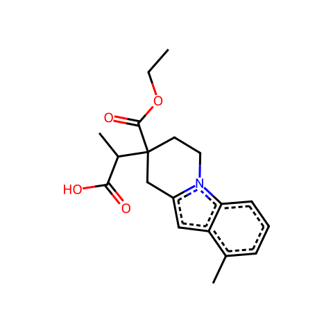 CCOC(=O)C1(C(C)C(=O)O)CCn2c(cc3c(C)cccc32)C1